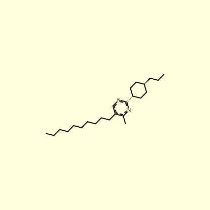 CCCCCCCCCCc1cnc([C@H]2CC[C@H](CCC)CC2)nc1C